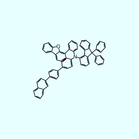 c1ccc(C2(c3ccccc3)c3ccccc3-c3c(N(c4ccc(-c5ccc(-c6ccc7ccccc7c6)cc5)cc4)c4ccccc4-c4cccc5c4oc4ccccc45)cccc32)cc1